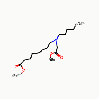 CCCCCCCCCCCCCCN(CCCCCCCC(=O)OCCCCC)CC(=O)OCCCC